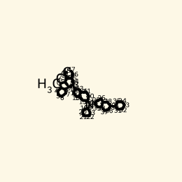 CC1(C)c2ccccc2-c2c(-c3ccc4cc(N(c5ccccc5)c5ccc6cc(-c7ccccc7)ccc6c5)ccc4c3)cc3ccccc3c21